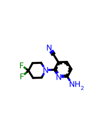 N#Cc1ccc(N)nc1N1CCC(F)(F)CC1